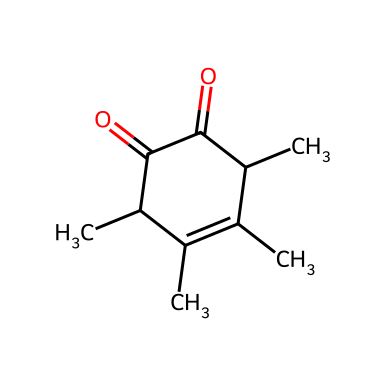 CC1=C(C)C(C)C(=O)C(=O)C1C